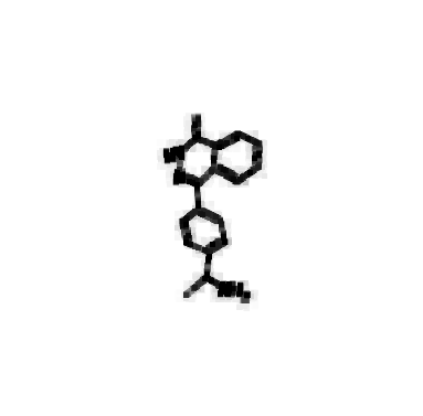 C=C1NN=C(c2ccc(C(C)N)cc2)c2ccccc21